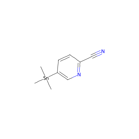 [CH3][Sn]([CH3])([CH3])[c]1ccc(C#N)nc1